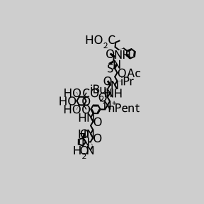 CCCCC[N+](C)(CC(=O)N[C@H](C(=O)N(C)[C@H](C[C@@H](OC(C)=O)c1nc(C(=O)N[C@@H](Cc2ccccc2)C[C@H](C)C(=O)O)cs1)C(C)C)[C@@H](C)CC)Cc1ccc(O[C@@H]2O[C@H](C(=O)O)[C@@H](O)[C@H](O)[C@H]2O)c(NC(=O)CCNC(=O)[C@H](CN)N2C(=O)C=CC2=O)c1